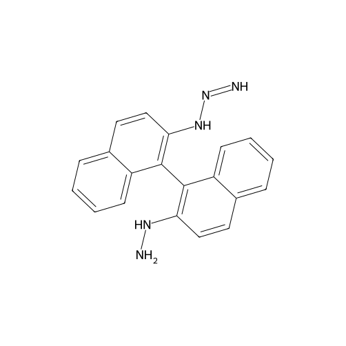 N=NNc1ccc2ccccc2c1-c1c(NN)ccc2ccccc12